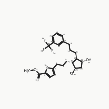 COC(=O)c1ccc(CCC[C@@H]2[C@@H](CCCc3cccc(C(F)(F)F)c3)[C@H](O)C[C@H]2Cl)s1